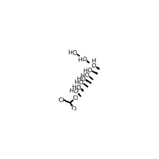 CO.CO.CO.CO.CO.CO.CO.CO.CO.ClC(Cl)Cl